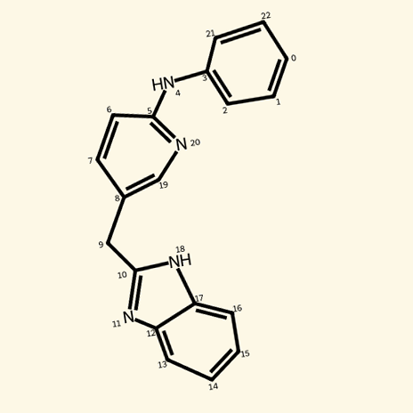 c1ccc(Nc2ccc(Cc3nc4ccccc4[nH]3)cn2)cc1